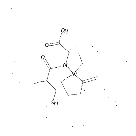 C=C1CCC[N+]1(CC)N(CC(=O)O)C(=O)C(C)CS